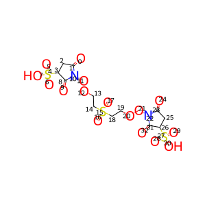 O=C1CC(S(=O)(=O)O)C(=O)N1OOCCS(=O)(=O)CCOON1C(=O)CC(S(=O)(=O)O)C1=O